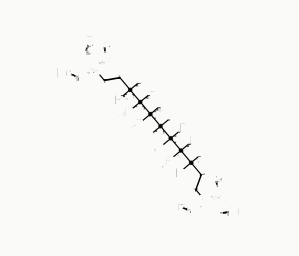 CCO[Si](CCC(F)(F)C(F)(F)C(F)(F)C(F)(F)C(F)(F)C(F)(F)C(F)(F)CC[Si](OCC)(OCC)OCC)(OCC)OCC